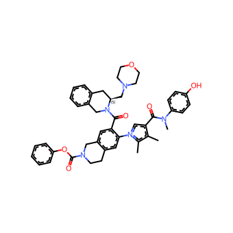 Cc1c(C(=O)N(C)c2ccc(O)cc2)cn(-c2cc3c(cc2C(=O)N2Cc4ccccc4C[C@H]2CN2CCOCC2)CN(C(=O)Oc2ccccc2)CC3)c1C